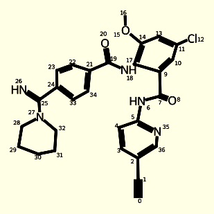 C#Cc1ccc(NC(=O)c2cc(Cl)cc(OC)c2NC(=O)c2ccc(C(=N)N3CCCCC3)cc2)nc1